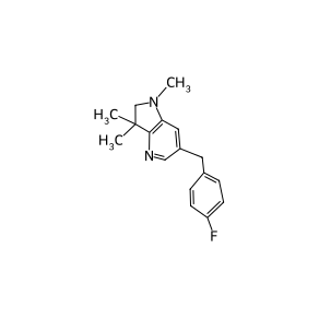 CN1CC(C)(C)c2ncc(Cc3ccc(F)cc3)cc21